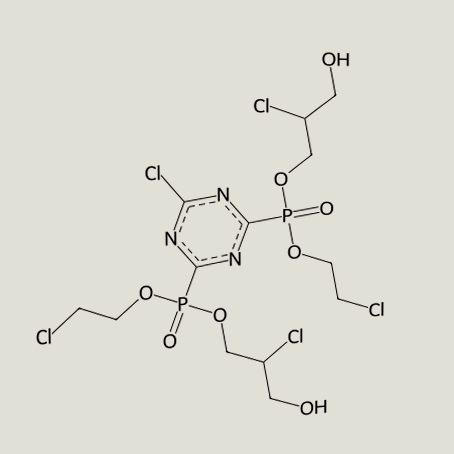 O=P(OCCCl)(OCC(Cl)CO)c1nc(Cl)nc(P(=O)(OCCCl)OCC(Cl)CO)n1